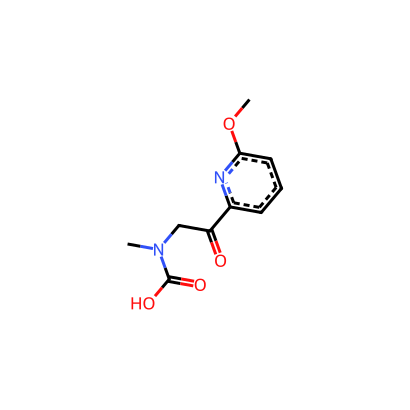 COc1cccc(C(=O)CN(C)C(=O)O)n1